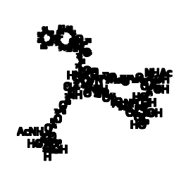 CC(=O)NC1C(OCCOCCOCCNC(=O)CCC(CCC(=O)NCCOCCOCCOC2OC(CO)C(O)C(O)C2NC(C)=O)(CCC(=O)NCCOCCOCCOC2OC(CO)C(O)C(O)C2NC(C)=O)NC(=O)CCCC(=O)NC(C)OC2CCCCC(C3CCCCCC3)CCCC2)OC(CO)C(O)C1O